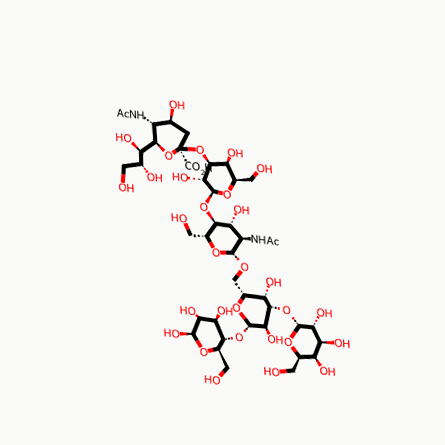 CC(=O)N[C@H]1[C@H](OC[C@H]2O[C@@H](O[C@H]3[C@H](O)[C@@H](O)[C@H](O)O[C@@H]3CO)[C@H](O)[C@@H](O[C@H]3O[C@H](CO)[C@H](O)[C@H](O)[C@H]3O)[C@H]2O)O[C@H](CO)[C@@H](O[C@@H]2O[C@H](CO)[C@H](O)[C@H](O[C@]3(C(=O)O)C[C@H](O)[C@@H](NC(C)=O)[C@H]([C@H](O)[C@H](O)CO)O3)[C@H]2O)[C@@H]1O